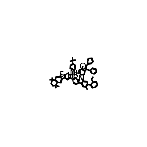 CCc1ccccc1-c1cc2c(cc1C)c1ccc(-c3cc4c(cc3Nc3ccc(C(C)(C)C)cc3)sc3cc5c(cc34)C(C)(C)CCC5(C)C)c3c1n2-c1cc2c(-c4ccccc4)c(-c4ccccc4)oc2cc1B3